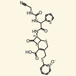 N#CCNC(=O)NC(C(=O)N[C@@H]1C(=O)N2C(C(=O)O)=C(CSc3cccc[n+]3[O-])CSC12)c1cccs1